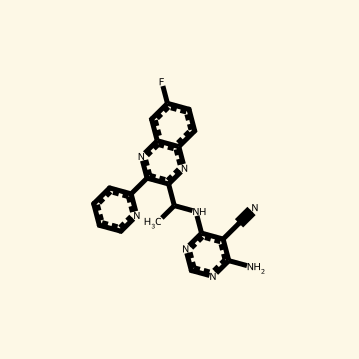 CC(Nc1ncnc(N)c1C#N)c1nc2ccc(F)cc2nc1-c1ccccn1